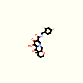 CC12CCCOC1Cn1cc(C(=O)NCc3ccc(F)cc3F)c(=O)c(O)c1C2=O